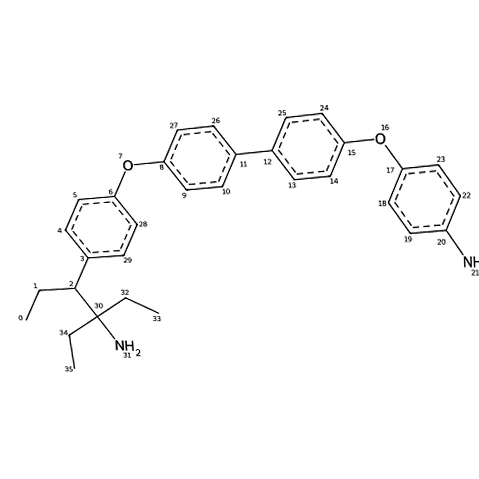 CCC(c1ccc(Oc2ccc(-c3ccc(Oc4ccc(N)cc4)cc3)cc2)cc1)C(N)(CC)CC